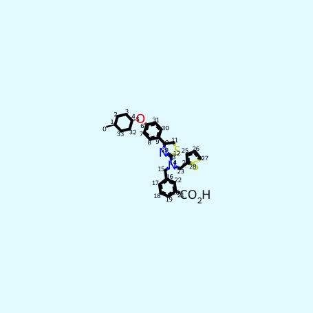 C[C@H]1CC[C@H](Oc2ccc(C3CSC(N(Cc4cccc(C(=O)O)c4)Cc4cccs4)=N3)cc2)CC1